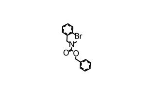 CN(Cc1ccccc1Br)C(=O)OCc1ccccc1